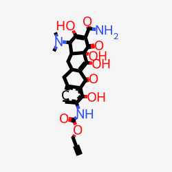 C#CCOC(=O)Nc1ccc2c(c1O)C(=O)C1=C(O)C3(O)C(=O)C(C(N)=O)=C(O)C(N(C)C)C3CC1C2